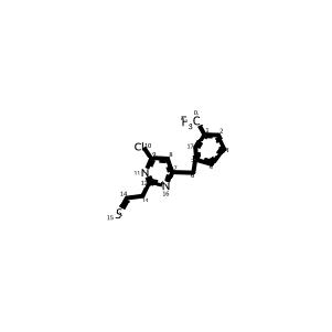 FC(F)(F)c1cccc(Cc2cc(Cl)nc(CC=S)n2)c1